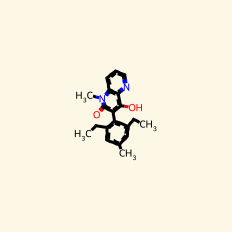 CCc1cc(C)cc(CC)c1-c1c(O)c2ncccc2n(C)c1=O